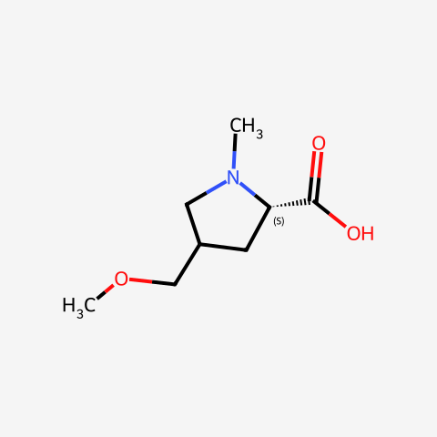 COCC1C[C@@H](C(=O)O)N(C)C1